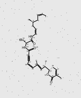 C/C=C\C[C@H](C)C/C=C\NC(=O)[C@@H](NC(=O)C#C/C=C\C(C)=C\[C@H](C)[C@@H]1CC=C(C)C(=O)O1)C(C)(C)C